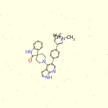 C=C/C(=C\N(C)C)c1ccc(-c2cnc3[nH]ccc3c2N2CCC3(CC2)C(=O)Nc2ccccc23)cc1